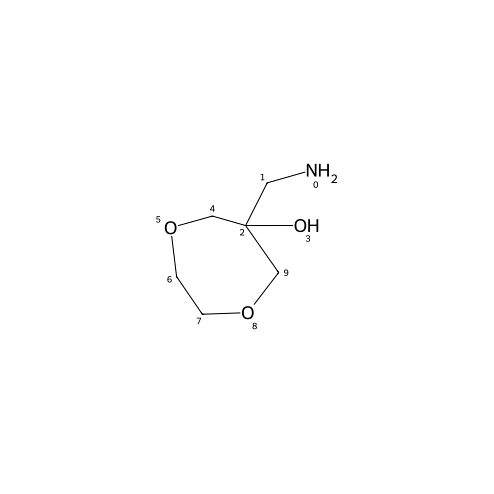 NCC1(O)COCCOC1